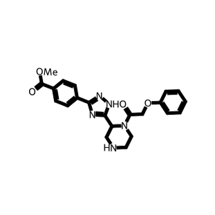 COC(=O)c1ccc(-c2n[nH]c(C3CNCCN3C(=O)COc3ccccc3)n2)cc1